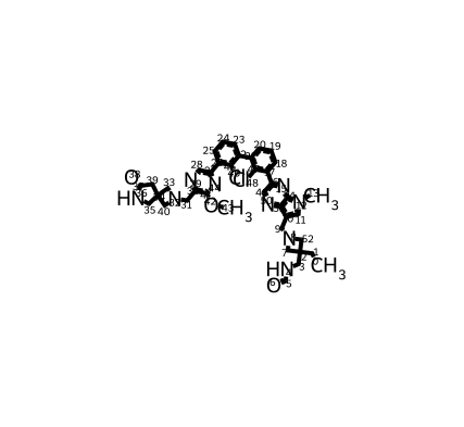 CCC1(CNC=O)CN(Cc2cn(C)c3nc(-c4cccc(-c5cccc(-c6cnc(CN7CC8(CNC(=O)C8)C7)c(OC)n6)c5Cl)c4Cl)cnc23)C1